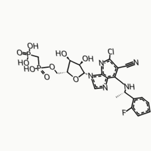 C[C@H](Nc1c(C#N)c(Cl)nc2c1ncn2[C@@H]1O[C@H](COP(=O)(O)CP(=O)(O)O)[C@@H](O)[C@H]1O)c1ccccc1F